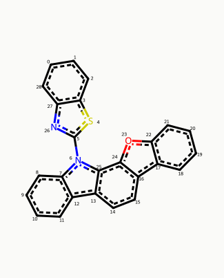 c1ccc2sc(-n3c4ccccc4c4ccc5c6ccccc6oc5c43)nc2c1